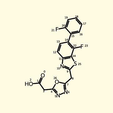 O=C(O)Cc1nnc(Cc2nc3ccc(-c4ccccc4F)c(F)c3s2)o1